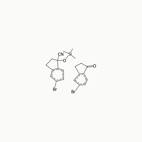 C[Si](C)(C)OC1(C#N)CCc2cc(Br)ccc21.O=C1CCc2cc(Br)ccc21